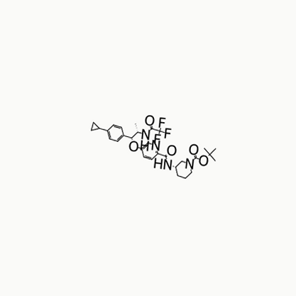 C[C@H](NC(=O)C(F)(F)F)[C@H](Oc1ccc(C(=O)N[C@H]2CCCN(C(=O)OC(C)(C)C)C2)nc1)c1ccc(C2CC2)cc1